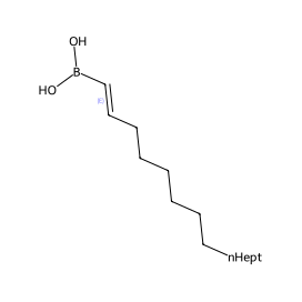 CCCCCCCCCCCCC/C=C/B(O)O